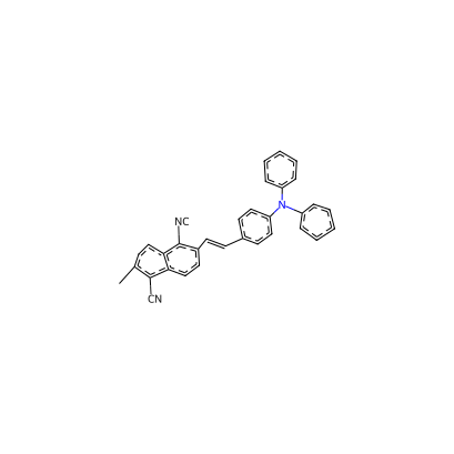 [C-]#[N+]c1c(C=Cc2ccc(N(c3ccccc3)c3ccccc3)cc2)ccc2c(C#N)c(C)ccc12